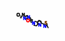 Cc1csc(-c2ccc3c(n2)CCN(C[C@@]2(C)Cn4cc([N+](=O)[O-])nc4O2)C3)n1